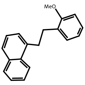 COc1ccccc1CCc1cccc2ccccc12